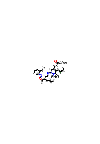 C\C=C/C(=C\CC)C(/C)=N/OC(C)C(/C=C/N=C(/CCCCC(=O)OC)N(C=O)C(C)/C=C\C(F)=C/C)=C/C=C/C